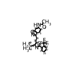 CC(=O)Nc1ccc2c(CCc3sc(-c4ccccc4C(F)(F)F)nc3C(C)C)noc2c1